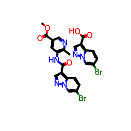 COC(=O)c1cnc(C)c(NC(=O)c2cnn3cc(Br)ccc23)c1.O=C(O)c1cnn2cc(Br)ccc12